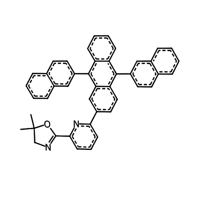 CC1(C)CN=C(c2cccc(-c3ccc4c(-c5ccc6ccccc6c5)c5ccccc5c(-c5ccc6ccccc6c5)c4c3)n2)O1